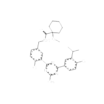 COC1(C(=O)NCc2ccc(Cl)c(-c3nc(O)nc(-c4ccc(Cl)c(C(C)C)c4)n3)c2)CCCCC1